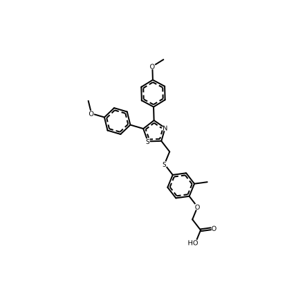 COc1ccc(-c2nc(CSc3ccc(OCC(=O)O)c(C)c3)sc2-c2ccc(OC)cc2)cc1